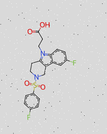 O=C(O)CCn1c2c(c3cc(F)ccc31)CN(S(=O)(=O)c1ccc(F)cc1)CC2